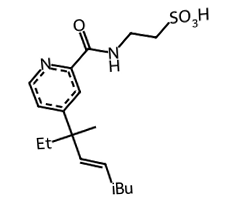 CCC(C)/C=C/C(C)(CC)c1ccnc(C(=O)NCCS(=O)(=O)O)c1